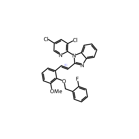 COc1cccc(/C=C/c2nc3ccccc3n2-c2ncc(Cl)cc2Cl)c1OCc1ccccc1F